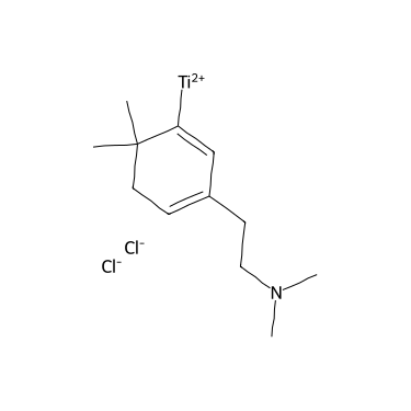 CN(C)CCC1=CCC(C)(C)[C]([Ti+2])=C1.[Cl-].[Cl-]